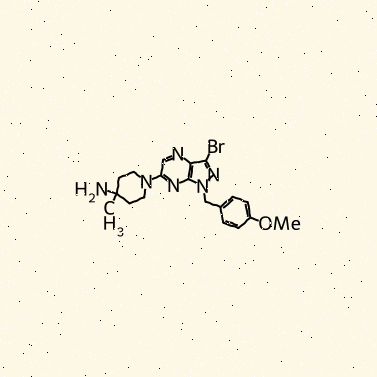 COc1ccc(Cn2nc(Br)c3ncc(N4CCC(C)(N)CC4)nc32)cc1